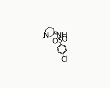 CN1CCC[C@H](NS(=O)(=O)c2ccc(Cl)cc2)C1